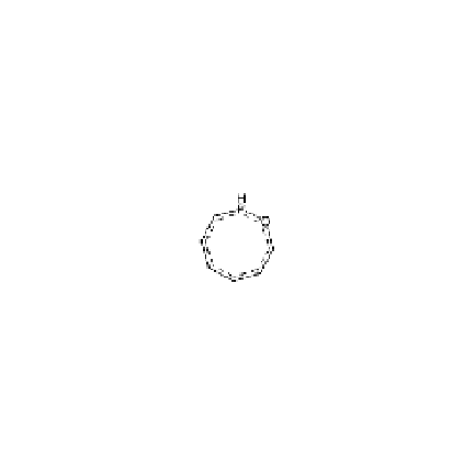 c1ccc[pH]occ1